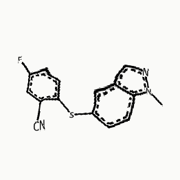 Cn1ncc2cc(Sc3ccc(F)cc3C#N)ccc21